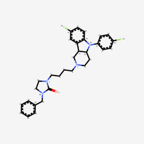 O=C1N(CCCCN2CCC3C(C2)c2cc(F)ccc2N3c2ccc(F)cc2)CCN1Cc1ccccc1